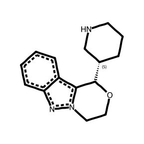 c1ccc2c3n(nc2c1)CCOC3[C@H]1CCCNC1